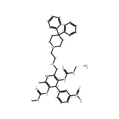 COC(=O)OC1=C(C)NC(COCCN2CCC(c3ccccc3)(c3ccccc3)CC2)=C(OC(=O)OC)C1c1cccc([N+](=O)[O-])c1.Cl